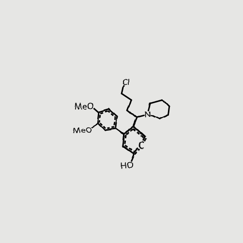 COc1ccc(-c2cc(O)ccc2C(CCCCl)N2CCCCC2)cc1OC